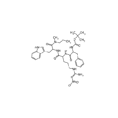 CCCN(C)C(=O)C(Cc1c[nH]c2ccccc12)NC(=O)C(CCCNC(N)=N[N+](=O)[O-])NC(=O)C(Cc1ccccc1)NC(=O)OC(C)(C)C